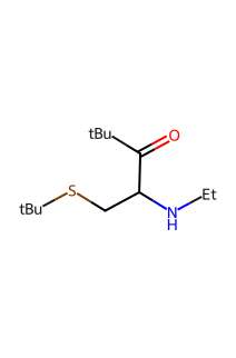 CCNC(CSC(C)(C)C)C(=O)C(C)(C)C